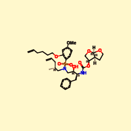 C=CCCCCOc1cc(OC)ccc1S(=O)(=O)N(C[C@H](C)CC=C)C[C@@H](O)[C@H](Cc1ccccc1)NC(=O)O[C@H]1CO[C@H]2OCC[C@H]21